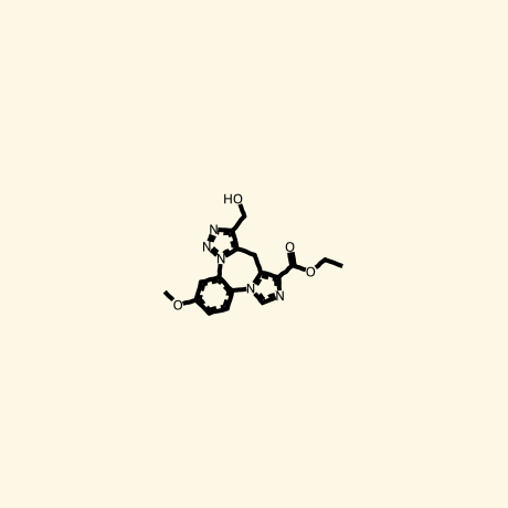 CCOC(=O)c1ncn2c1Cc1c(CO)nnn1-c1cc(OC)ccc1-2